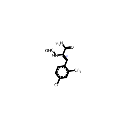 Cc1cc(Cl)ccc1/C=C(\NC=O)C(N)=O